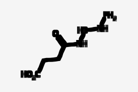 O=C(O)CCC(=O)NBNP